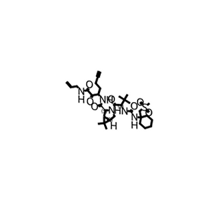 C#CCCC(NC(=O)[C@@H]1C2[C@H](CN1C(=O)[C@@H](NC(=O)NC1(CS(C)(=O)=O)CCCCC1)C(C)(C)C)C2(C)C)C(=O)C(=O)NCC=C